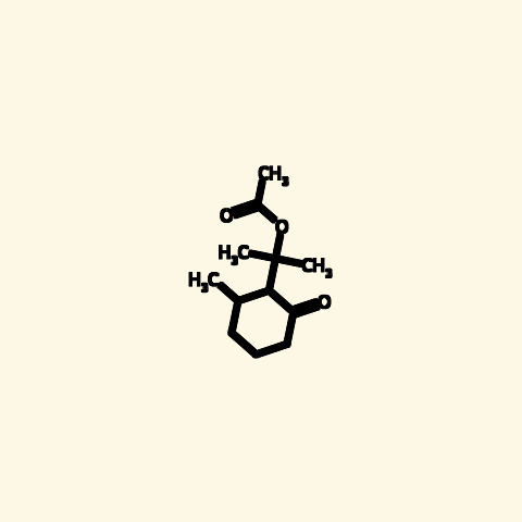 CC(=O)OC(C)(C)C1C(=O)CCCC1C